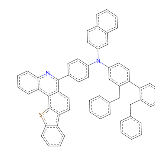 c1ccc(Cc2ccccc2-c2ccc(N(c3ccc(-c4nc5ccccc5c5c4ccc4c6ccccc6sc45)cc3)c3ccc4ccccc4c3)cc2Cc2ccccc2)cc1